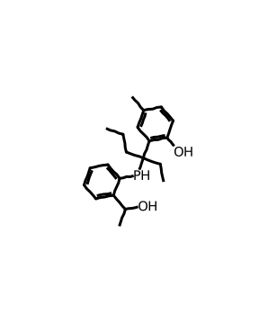 CCCC(CC)(Pc1ccccc1C(C)O)c1cc(C)ccc1O